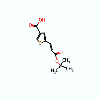 CC(C)(C)OC(=O)C=Cc1cc(C(=O)O)cs1